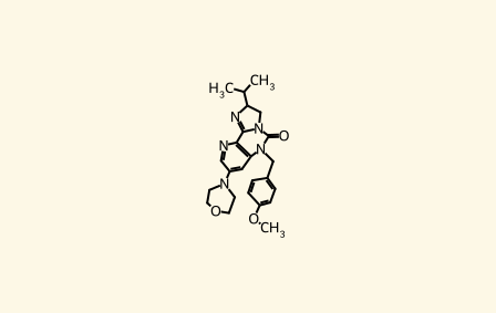 COc1ccc(CN2C(=O)N3CC(C(C)C)N=C3c3ncc(N4CCOCC4)cc32)cc1